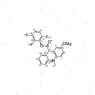 COc1ccc2c(c1)C(C(=O)Oc1c(F)ccc(F)c1F)c1ccccc1N2C